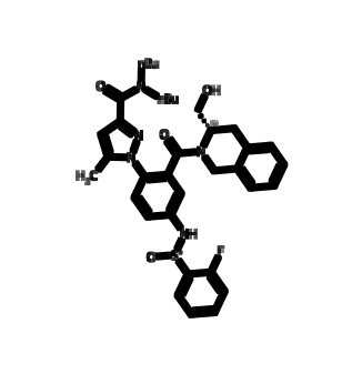 CCCCN(CCCC)C(=O)c1cc(C)n(-c2ccc(N[S+]([O-])c3ccccc3F)cc2C(=O)N2Cc3ccccc3C[C@H]2CO)n1